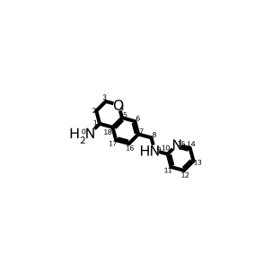 NC1CCOc2cc(CNc3ccccn3)ccc21